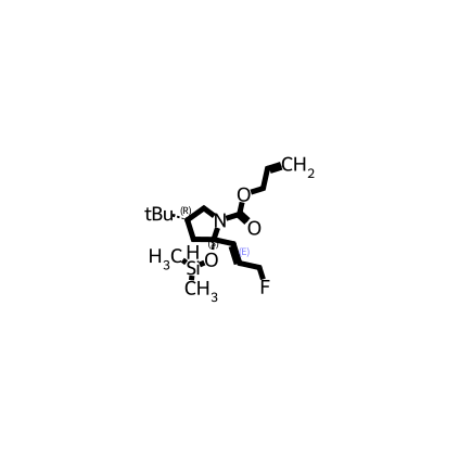 C=CCOC(=O)N1C[C@@H](C(C)(C)C)C[C@@]1(/C=C/CF)O[SiH](C)C